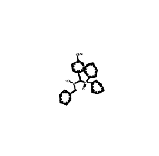 COc1ccc(C(N(O)Cc2ccccc2)P(=O)(c2ccccc2)c2ccccc2)cc1